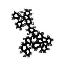 c1ccc(-c2c(-c3ccccc3)c3cc(-c4ccc(N(c5ccc(-c6cccc7ccccc67)cc5)c5ccc6c(c5)C(c5ccccc5)(c5ccccc5)c5ccccc5-6)cc4)ccc3c3ccccc23)cc1